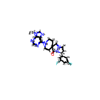 CCn1cnc2c(N3CCC4(CC3)CN3CC[C@@H](c5cc(F)cc(F)c5)N3C4=O)ncnc21